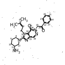 CC(C)=CCn1c(N2CCCC(N)C2)nc2cnn(CC(=O)c3ccccc3)c(=O)c21